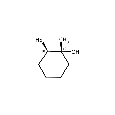 C[C@@]1(O)CCCC[C@H]1S